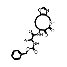 CC(C)C(NC(=O)OCc1ccccc1)C(=O)NC1CCCc2ocnc2CNC(=O)C1=O